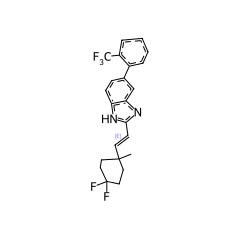 CC1(/C=C/c2nc3cc(-c4ccccc4C(F)(F)F)ccc3[nH]2)CCC(F)(F)CC1